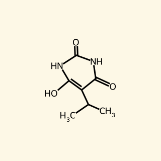 CC(C)c1c(O)[nH]c(=O)[nH]c1=O